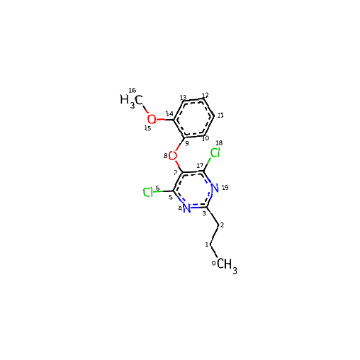 CCCc1nc(Cl)c(Oc2ccccc2OC)c(Cl)n1